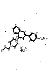 COc1ccc(-c2cc3ccccc3c(N3CCN(CCF)CC3)n2)cc1.Cl.Cl